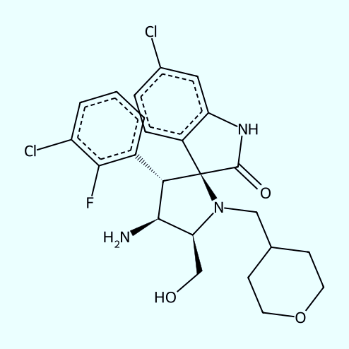 N[C@@H]1[C@H](CO)N(CC2CCOCC2)[C@@]2(C(=O)Nc3cc(Cl)ccc32)[C@H]1c1cccc(Cl)c1F